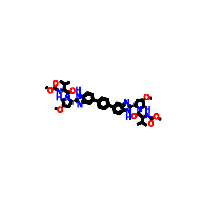 COC(=O)N[C@H](C(=O)N1C[C@H](OC)C[C@H]1c1nc2cc(-c3ccc(-c4ccc5[nH]c([C@@H]6C[C@@H](OC)CN6C(=O)[C@@H](NC(=O)OC)C(C)C)nc5c4)cc3)ccc2[nH]1)C(C)C